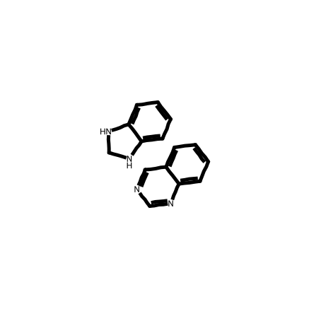 c1ccc2c(c1)NCN2.c1ccc2ncncc2c1